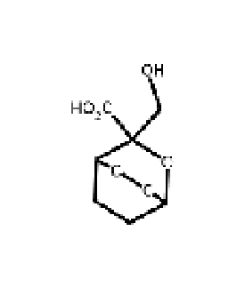 O=C(O)C1(CO)OC2CCC1CC2